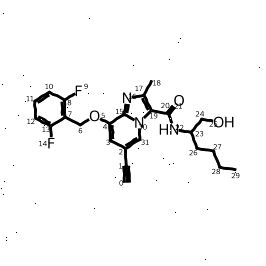 C#Cc1cc(OCc2c(F)cccc2F)c2nc(C)c(C(=O)NC(CO)CCCC)n2c1